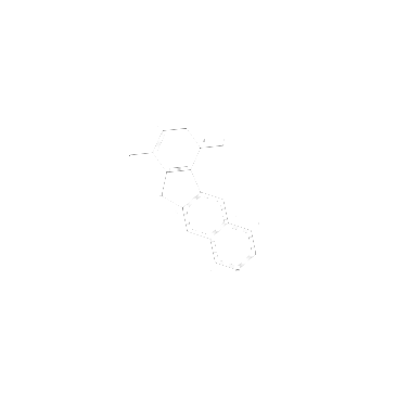 CC1=CCC(C)C2=C1Cc1cc3ccccc3cc12